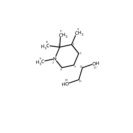 CC1CCCN(C)C1(C)C.OCCO